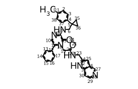 Cc1ccc(C2(CNc3ncc(-c4ccccc4)n(CC(=O)NCc4cc5cnccc5[nH]4)c3=O)CC2)cc1